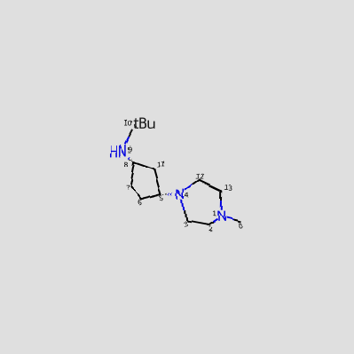 CN1CCN([C@@H]2CC[C@H](NC(C)(C)C)C2)CC1